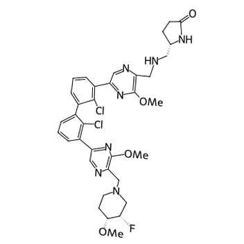 COc1nc(-c2cccc(-c3cccc(-c4cnc(CN5CC[C@@H](OC)[C@@H](F)C5)c(OC)n4)c3Cl)c2Cl)cnc1CNC[C@@H]1CCC(=O)N1